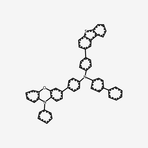 c1ccc(-c2ccc(N(c3ccc(-c4ccc5c(c4)Oc4ccccc4N5c4ccccc4)cc3)c3ccc(-c4ccc5sc6ccccc6c5c4)cc3)cc2)cc1